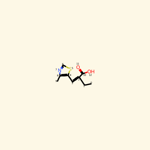 CCC(=Cc1scnc1C)C(=O)O